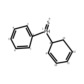 S=[PH](c1ccccc1)C1C=CC=CC1